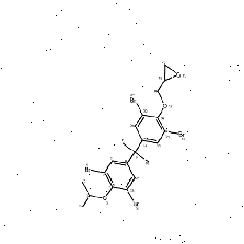 CC(C)Oc1c(Br)cc(C(C)(C)c2cc(Br)c(OCC3CO3)c(Br)c2)cc1Br